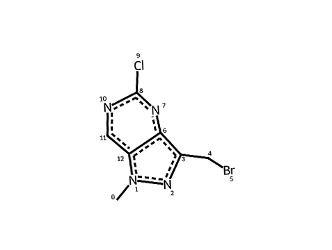 Cn1nc(CBr)c2nc(Cl)ncc21